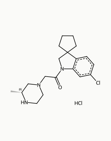 C[C@@H]1CN(CC(=O)N2CC3(CCCC3)c3ccc(Cl)cc32)CCN1.Cl